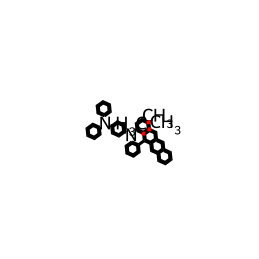 CC(C)(C)c1cc(-c2ccccc2N(c2ccccc2)c2ccc(N(c3ccccc3)c3ccccc3)cc2)c2cc3ccccc3cc2c1